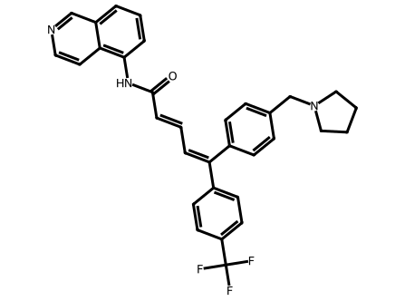 O=C(/C=C/C=C(\c1ccc(CN2CCCC2)cc1)c1ccc(C(F)(F)F)cc1)Nc1cccc2cnccc12